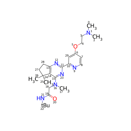 CN(C)CCOc1ccnc(-c2nc3c(c(N(C)CC(=O)NC(C)(C)C)n2)C(C)(C)CC3)c1